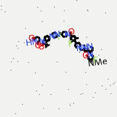 CNc1cc(=O)n(-c2ccnc3c2cc([C@H](C)N2CC=C(c4c(C)cc(C(=O)N5CCC(F)(CN6CCN(c7ccc8c(c7)C7(CC7)C(=O)N8C7CCC(=O)NC7=O)CC6)CC5)cc4F)CC2)n3C)cc1F